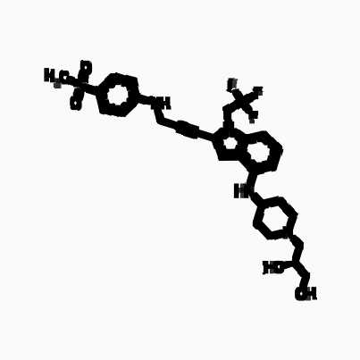 CS(=O)(=O)c1ccc(NCC#Cc2cc3c(NC4CCN(C[C@H](O)CO)CC4)cccc3n2CC(F)(F)F)cc1